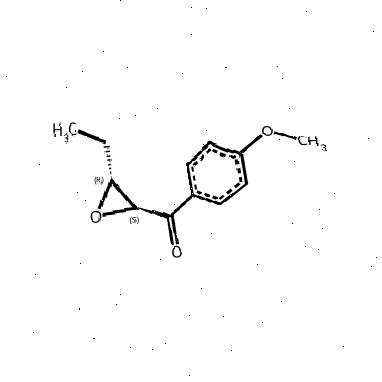 CC[C@H]1O[C@@H]1C(=O)c1ccc(OC)cc1